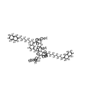 CCCCCCCCCCC[C@@H](CC(=O)N[C@H]1[C@H](OCc2ccccc2)O[C@H](CO[Si](C)(C)C(C)(C)C)[C@@H](O)[C@@H]1OC(=O)CCCCCCCCc1ccc2ccccc2c1)OC(=O)CCCCCCCCc1ccc2ccccc2c1